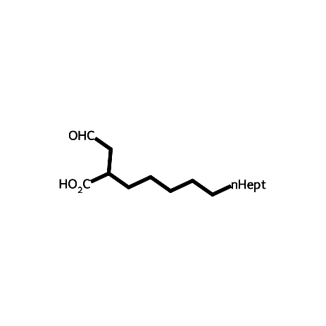 CCCCCCCCCCCCC(CC=O)C(=O)O